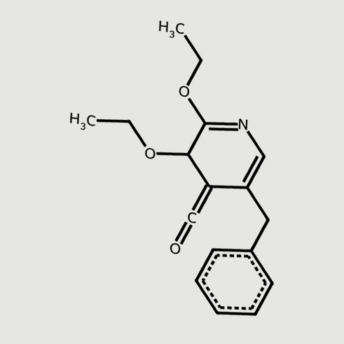 CCOC1=NC=C(Cc2ccccc2)C(=C=O)C1OCC